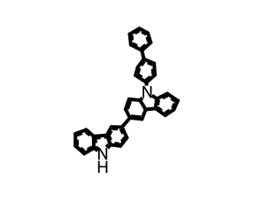 C1=CC2C(C=C1c1ccc3[nH]c4ccccc4c3c1)c1ccccc1N2c1ccc(-c2ccccc2)cc1